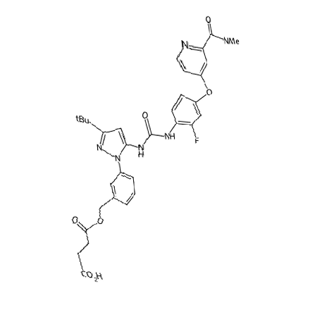 CNC(=O)c1cc(Oc2ccc(NC(=O)Nc3cc(C(C)(C)C)nn3-c3cccc(COC(=O)CCC(=O)O)c3)c(F)c2)ccn1